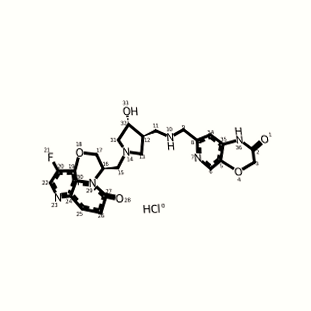 Cl.O=C1COc2cnc(CNC[C@H]3CN(C[C@@H]4COc5c(F)cnc6ccc(=O)n4c56)C[C@@H]3O)cc2N1